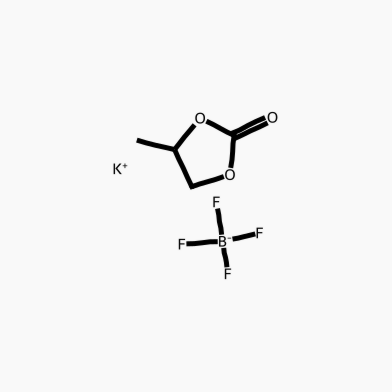 CC1COC(=O)O1.F[B-](F)(F)F.[K+]